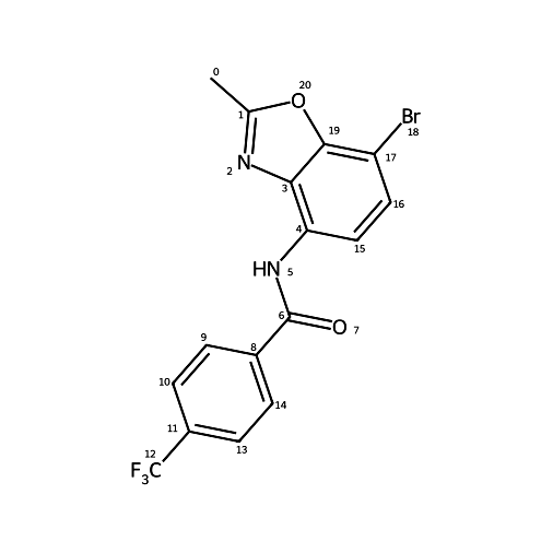 Cc1nc2c(NC(=O)c3ccc(C(F)(F)F)cc3)ccc(Br)c2o1